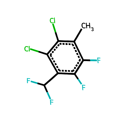 Cc1c(F)c(F)c(C(F)F)c(Cl)c1Cl